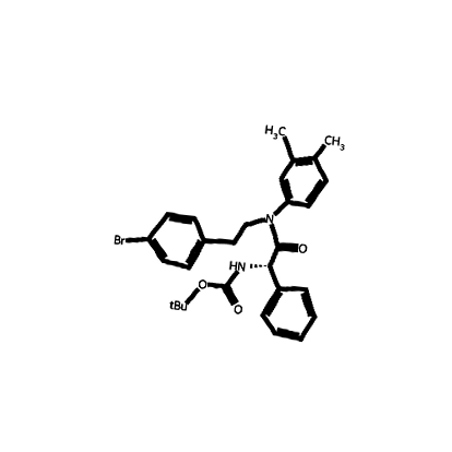 Cc1ccc(N(CCc2ccc(Br)cc2)C(=O)[C@@H](NC(=O)OC(C)(C)C)c2ccccc2)cc1C